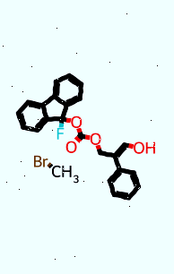 CBr.O=C(OCC(=CO)c1ccccc1)OC1(F)c2ccccc2-c2ccccc21